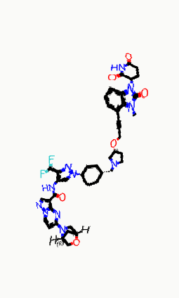 Cn1c(=O)n(C2CCC(=O)NC2=O)c2cccc(C#CCO[C@@H]3CCN(C[C@H]4CC[C@H](n5cc(NC(=O)c6cnn7ccc(N8C[C@H]9C[C@@H]8CO9)nc67)c(C(F)F)n5)CC4)C3)c21